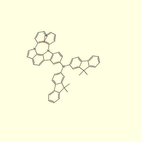 CC1(C)c2ccccc2-c2ccc(N(c3ccc4c(c3)C(C)(C)c3ccccc3-4)c3ccc4c(c3)c3ccc5ccn(-c6ccccc6)c5c3n4-c3ccccc3)cc21